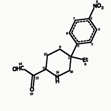 CCC1(c2ccc([N+](=O)[O-])cc2)CCC(C(=O)C=O)NC1